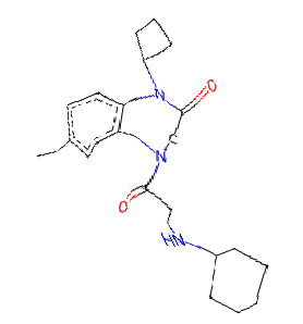 Cc1ccc2c(c1)N(C(=O)CNC1CCCCC1)CC(=O)N2C1CCC1